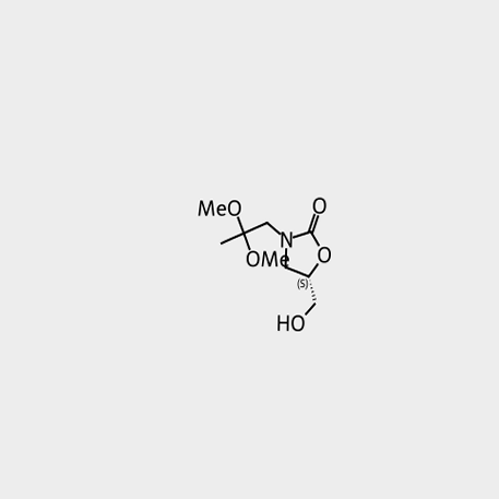 COC(C)(CN1C[C@@H](CO)OC1=O)OC